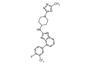 Cc1nnc(N2CCC(Nc3nc4c(-c5ccc(F)c(C(F)(F)F)c5)cccn4n3)CC2)o1